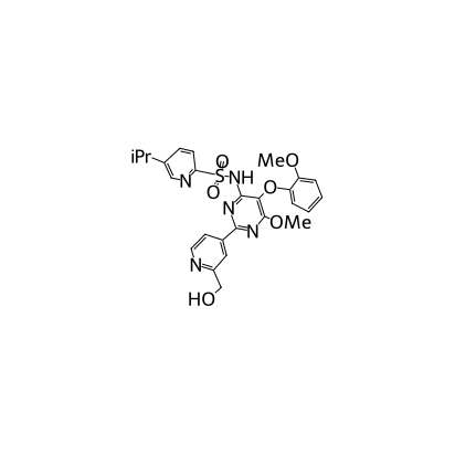 COc1ccccc1Oc1c(NS(=O)(=O)c2ccc(C(C)C)cn2)nc(-c2ccnc(CO)c2)nc1OC